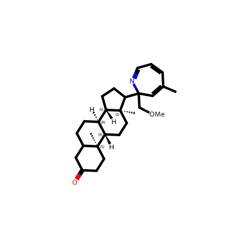 COCC1(C2CC[C@H]3[C@@H]4CCC5CC(=O)CC[C@]5(C)[C@H]4CC[C@]23C)C=C(C)C=CC=N1